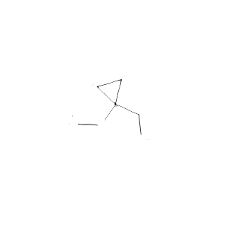 CCC1(SCl)CC1